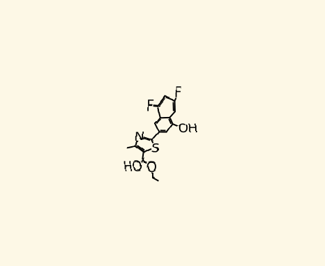 CCOC(O)c1sc(-c2cc(O)c3cc(F)cc(F)c3c2)nc1C